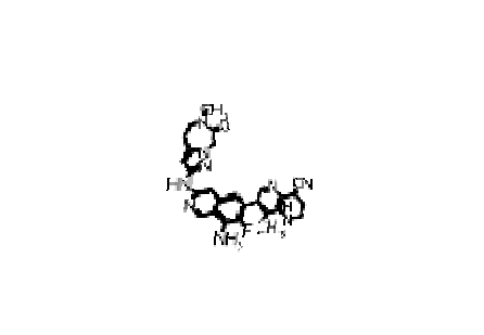 Cc1c(-c2cc3cc(Nc4cc5n(n4)CC(=O)N(C)CC5)ncc3c(N)c2F)cnc2c1NCCC2C#N